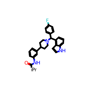 CC(C)C(=O)Nc1cccc(C2CCN(C(c3ccc(F)cc3)c3cccc4[nH]ccc34)CC2)c1